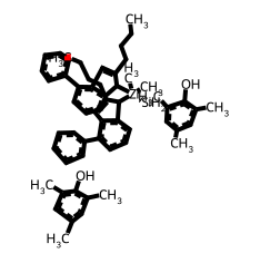 CCCCC1=Cc2c(-c3ccccc3)cccc2[CH]1[Zr]([CH3])([CH3])(=[SiH2])[CH]1C(CCCC)=Cc2c(-c3ccccc3)cccc21.Cc1cc(C)c(O)c(C)c1.Cc1cc(C)c(O)c(C)c1